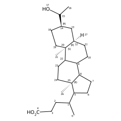 CC(CCC(=O)O)C1CCC2C3CC[C@@H]4C[C@H](C(C)O)CC[C@]4(C)C3CC[C@]12C